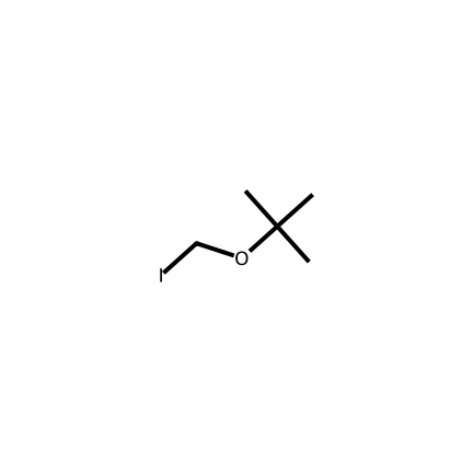 CC(C)(C)OCI